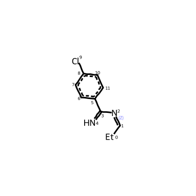 CC/C=N\C(=N)c1ccc(Cl)cc1